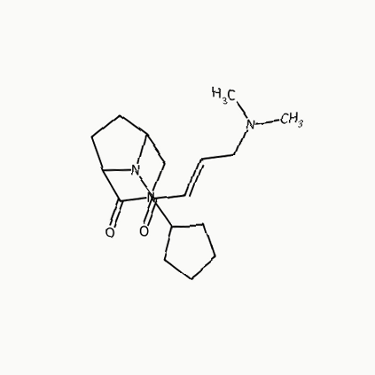 CN(C)C/C=C/C(=O)N1C2CCC1C(=O)N(C1CCCC1)C2